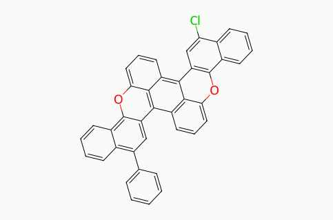 Clc1cc2c(oc3cccc4c3c2c2cccc3oc5c6ccccc6c(-c6ccccc6)cc5c4c32)c2ccccc12